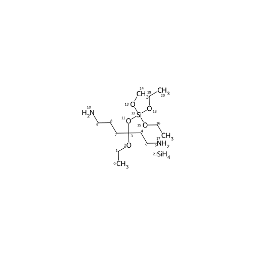 CCOC(CCN)(CCCN)O[Si](OC)(OCC)OCC.[SiH4]